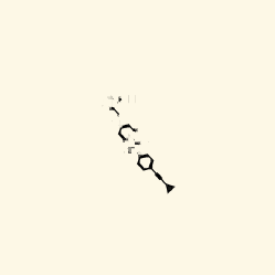 Cc1cc(OCC(=O)N(C)C)cc(=O)n1C(=O)N(C)c1ccc(C#CC2CC2)cc1